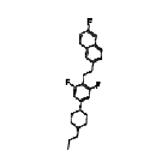 CCCC1CCC(c2cc(F)c(CCc3ccc4cc(F)ccc4c3)c(F)c2)CC1